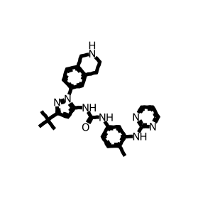 Cc1ccc(NC(=O)Nc2cc(C(C)(C)C)nn2-c2ccc3c(c2)CCNC3)cc1Nc1ncccn1